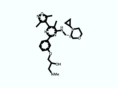 CNCC(O)COc1cccc(-c2nc(NC[C@H]3COCCN3C3CC3)c(C)c(-c3c(C)noc3C)n2)c1